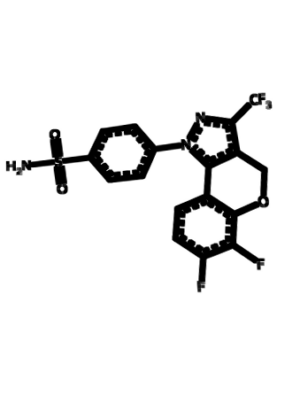 NS(=O)(=O)c1ccc(-n2nc(C(F)(F)F)c3c2-c2ccc(F)c(F)c2OC3)cc1